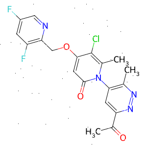 CC(=O)c1cc(-n2c(C)c(Cl)c(OCc3ncc(F)cc3F)cc2=O)c(C)nn1